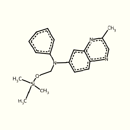 Cc1cnc2ccc(N(CO[Si](C)(C)C)c3ccccc3)cc2n1